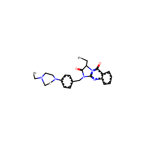 CC(C)CC1C(=O)N(Cc2ccc(N3CCN(CC(C)C)CC3)cc2)c2nc3ccccc3c(=O)n21